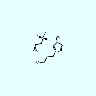 C=CCS(=O)(=O)[O-].CCCC[n+]1ccn(C)c1